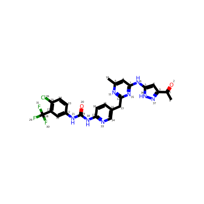 CC(=O)c1cc(Nc2cc(C)nc(Cc3ccc(NC(=O)Nc4ccc(Cl)c(C(F)(F)F)c4)nc3)n2)[nH]n1